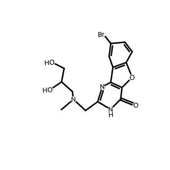 CN(Cc1nc2c(oc3ccc(Br)cc32)c(=O)[nH]1)CC(O)CO